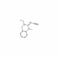 CCN1Cc2ccccc2N(C)C1=NC#N